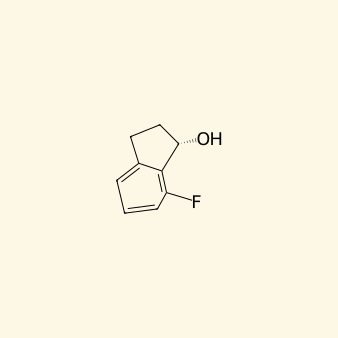 O[C@H]1CCc2cccc(F)c21